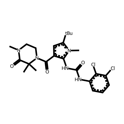 CN1CCN(C(=O)c2cc(C(C)(C)C)n(C)c2NC(=O)Nc2cccc(Cl)c2Cl)C(C)(C)C1=O